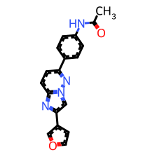 CC(=O)Nc1ccc(-c2ccc3nc(-c4ccoc4)cn3n2)cc1